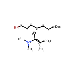 CC/C(=C(/C)C(=O)O)N(C)C.CCCCCCCCCCCCCCCCBr